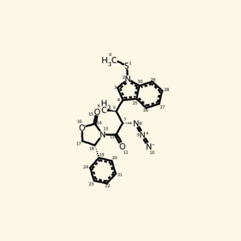 CSn1cc([C@H](C)[C@H](N=[N+]=[N-])C(=O)N2C(=O)OC[C@H]2c2ccccc2)c2ccccc21